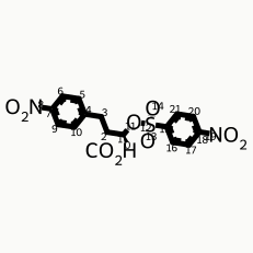 O=C(O)[C@@H](CCc1ccc([N+](=O)[O-])cc1)OS(=O)(=O)c1ccc([N+](=O)[O-])cc1